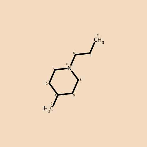 [CH2]C1CCN(CCC)CC1